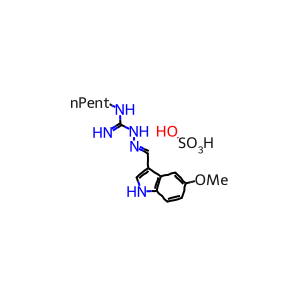 CCCCCNC(=N)N/N=C/c1c[nH]c2ccc(OC)cc12.O=S(=O)(O)O